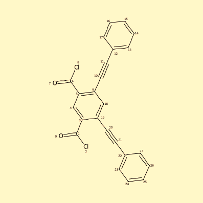 O=C(Cl)c1cc(C(=O)Cl)c(C#Cc2ccccc2)cc1C#Cc1ccccc1